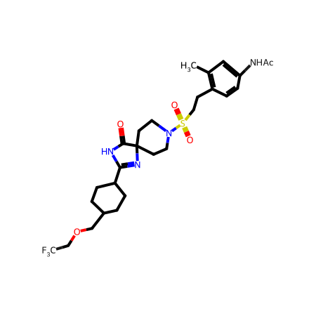 CC(=O)Nc1ccc(CCS(=O)(=O)N2CCC3(CC2)N=C(C2CCC(COCC(F)(F)F)CC2)NC3=O)c(C)c1